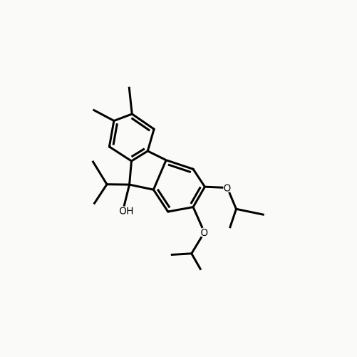 Cc1cc2c(cc1C)C(O)(C(C)C)c1cc(OC(C)C)c(OC(C)C)cc1-2